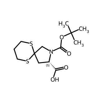 CC(C)(C)OC(=O)N1CC2(C[C@H]1C(=O)O)SCCCS2